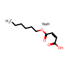 CCCCCCOC(=O)/C=C\C(=O)O.[NaH]